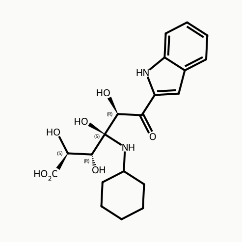 O=C(O)[C@@H](O)[C@@H](O)[C@@](O)(NC1CCCCC1)[C@@H](O)C(=O)c1cc2ccccc2[nH]1